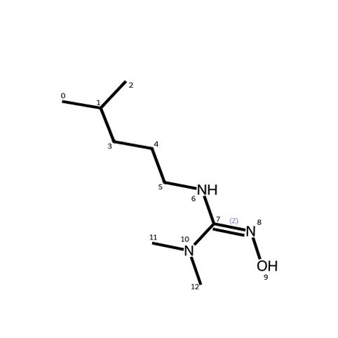 CC(C)CCCN/C(=N/O)N(C)C